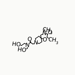 CC1OC2(CCN(CC(=O)N(CO)CCO)CC2)CN(C)C1=O